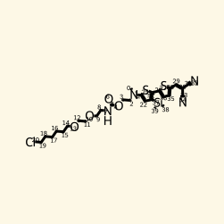 CN(CCOC(=O)NCCOCCOCCCCCCCl)c1cc2c(s1)-c1sc(C=C(C#N)C#N)cc1[Si]2(C)C